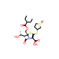 CCC(CC)C(=O)OC[C@@]12SC(S[C@H]3CC[S@@+]([O-])C3)=C(C(=O)O)N1C(=O)[C@@H]2[C@@H](C)O